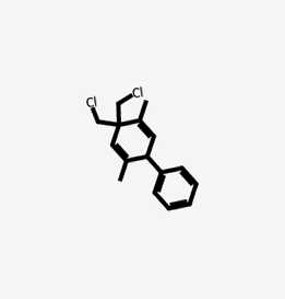 CC1=CC(CCl)(CCl)C(C)=CC1c1ccccc1